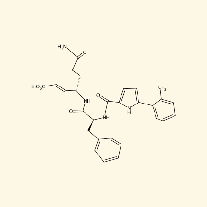 CCOC(=O)/C=C/[C@H](CCC(N)=O)NC(=O)[C@H](Cc1ccccc1)NC(=O)c1ccc(-c2ccccc2C(F)(F)F)[nH]1